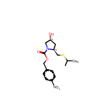 CC(=O)OC(C)SC[C@@H]1C[C@H](O)CN1C(=O)OCc1ccc([N+](=O)[O-])cc1